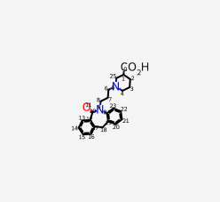 O=C(O)C1CCCN(CCCN2C(=O)c3ccccc3Cc3ccccc32)C1